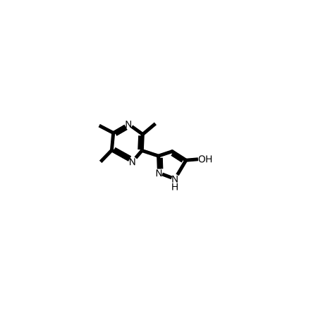 Cc1nc(C)c(-c2cc(O)[nH]n2)nc1C